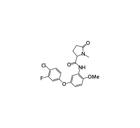 COc1ccc(Oc2ccc(Cl)c(F)c2)cc1NC(=O)C1CCC(=O)N1C